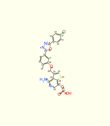 Cc1ccc(-c2nnc(-c3ccc(Cl)cc3)o2)cc1OCc1csc2c(OC(=O)O)cnc(N)c12